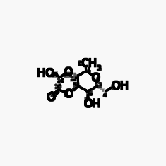 CC1O[C@H](CO)[C@@H](O)[C@@H](OC=O)[C@@H]1OCO